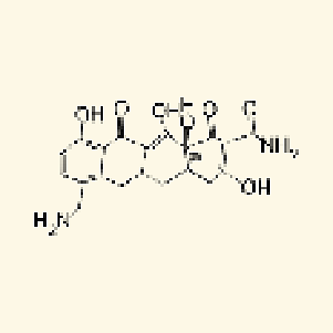 NCc1ccc(O)c2c1CC1CC3CC(O)=C(C(N)=O)C(=O)[C@@]3(O)C(O)=C1C2=O